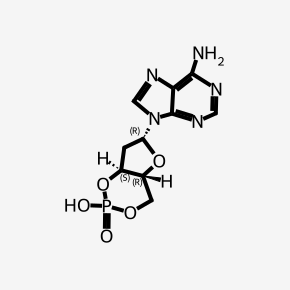 Nc1ncnc2c1ncn2[C@H]1C[C@@H]2OP(=O)(O)OC[C@H]2O1